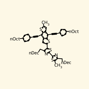 CCCCCCCCCCCc1nc(-c2nc(CCCCCCCCCCC)c(-c3cc4c(C#Cc5ccc(CCCCCCCC)cc5)c5sc(C)cc5c(C#Cc5ccc(CCCCCCCC)cc5)c4s3)s2)sc1C